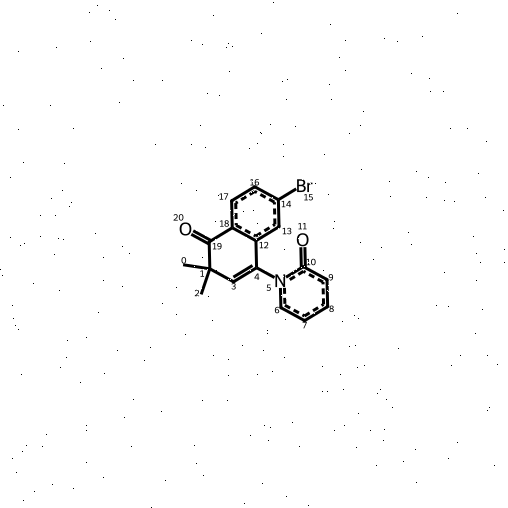 CC1(C)C=C(n2ccccc2=O)c2cc(Br)ccc2C1=O